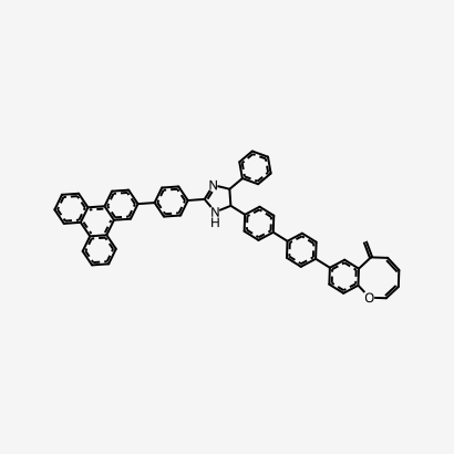 C=C1/C=C\C=C/Oc2ccc(-c3ccc(-c4ccc(C5NC(c6ccc(-c7ccc8c9ccccc9c9ccccc9c8c7)cc6)=NC5c5ccccc5)cc4)cc3)cc21